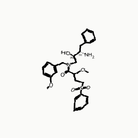 COc1cccc(CN(C[C@@H](O)[C@@H](N)Cc2ccccc2)C(=O)C(CCS(=O)(=O)c2ccccc2)OC)c1